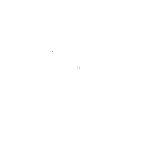 C1=CC2=CCc3cncnc3NC2C=C1